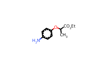 CCOC(=O)C(C)Oc1ccc(N)cc1